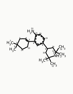 CC1(C)CC=C(c2cc(C3CC(C)(C)NC(C)(C)C3)ccc2N)CC1